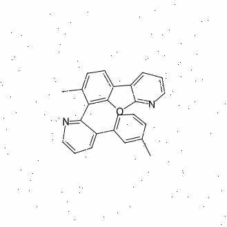 Cc1cccc(-c2cccnc2-c2c(C)ccc3c2oc2ncccc23)c1